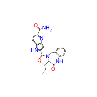 CC[C@H](C)[C@H]1C(=O)Nc2ccccc2CN1C(=O)c1cc2nc(C(N)=O)ccc2[nH]1